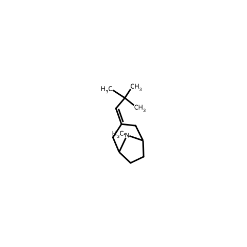 CN1C2CCC1CC(=CC(C)(C)C)C2